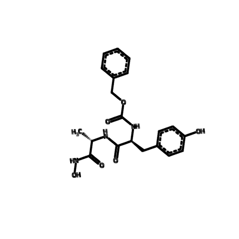 C[C@H](NC(=O)[C@H](Cc1ccc(O)cc1)NC(=O)OCc1ccccc1)C(=O)NO